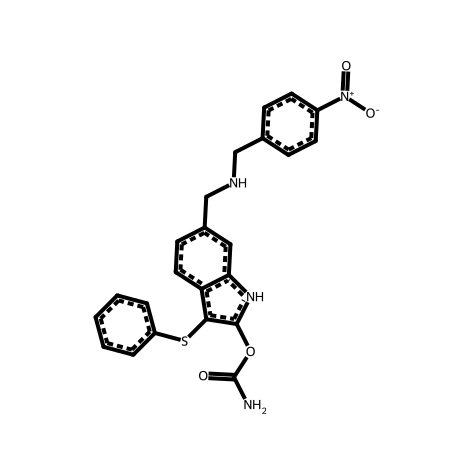 NC(=O)Oc1[nH]c2cc(CNCc3ccc([N+](=O)[O-])cc3)ccc2c1Sc1ccccc1